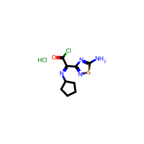 Cl.Nc1nc(/C(=N\C2CCCC2)C(=O)Cl)ns1